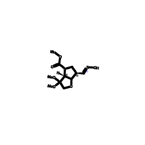 COC1(OC)COC2[C@H](/C=N/O)CN(C(=O)OC(C)(C)C)[C@@H]21